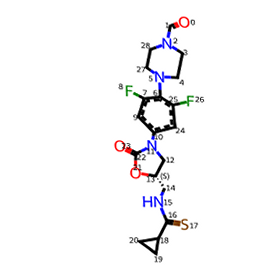 O=CN1CCN(c2c(F)cc(N3C[C@H](CNC(=S)C4CC4)OC3=O)cc2F)CC1